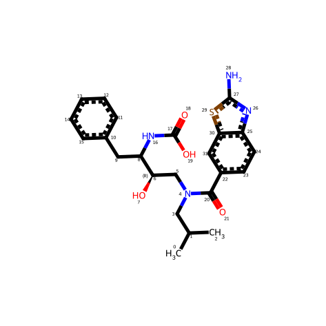 CC(C)CN(C[C@@H](O)C(Cc1ccccc1)NC(=O)O)C(=O)c1ccc2nc(N)sc2c1